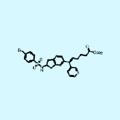 COC(=O)CCC/C=C(\c1cccnc1)c1ccc2c(c1)CC(NS(=O)(=O)c1ccc(Br)cc1)C2